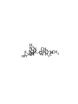 CCC[C@H](CF)Nc1nc(N)c2ncc(Cc3cnc(N4CCC(CN(C)C)CC4)c(C)c3)n2n1